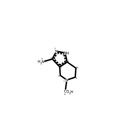 Nc1n[nH]c2c1CN(C(=O)O)CC2